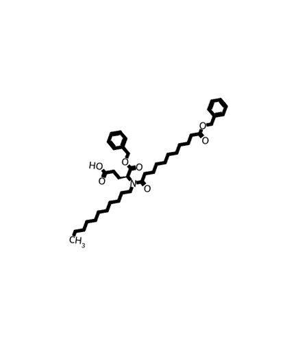 CCCCCCCCCCCN(C(=O)CCCCCCCCCC(=O)OCc1ccccc1)[C@@H](CCC(=O)O)C(=O)OCc1ccccc1